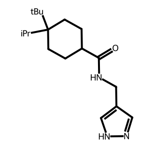 CC(C)C1(C(C)(C)C)CCC(C(=O)NCc2cn[nH]c2)CC1